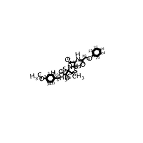 COc1ccc(COC(=O)[C@]2(SC)N3C(=O)[C@H](NC(=O)COc4ccccc4)[C@H]3SC2(C)C)cc1